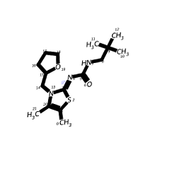 Cc1s/c(=N\C(=O)NCC(C)(C)C)n(CC2CCCO2)c1C